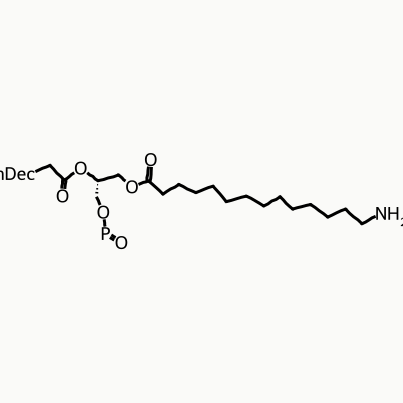 CCCCCCCCCCCC(=O)O[C@@H](COP=O)COC(=O)CCCCCCCCCCCCCN